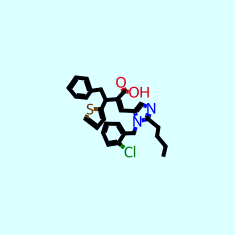 CCCCc1ncc(C=C(C(=O)O)C(Cc2ccccc2)c2cccs2)n1Cc1ccccc1Cl